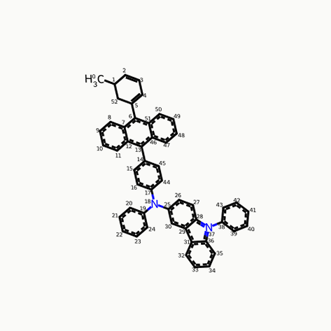 CC1C=CC=C(c2c3ccccc3c(-c3ccc(N(c4ccccc4)c4ccc5c(c4)c4ccccc4n5-c4ccccc4)cc3)c3ccccc23)C1